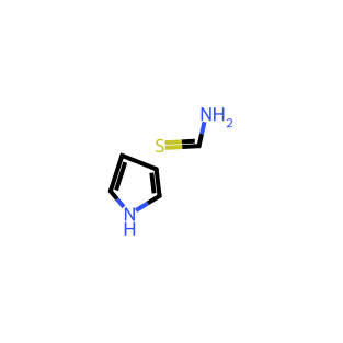 NC=S.c1cc[nH]c1